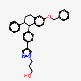 OCCCn1cc(-c2ccc(C3c4ccc(OCc5ccccc5)cc4CCC3c3c#cccc3)cc2)cn1